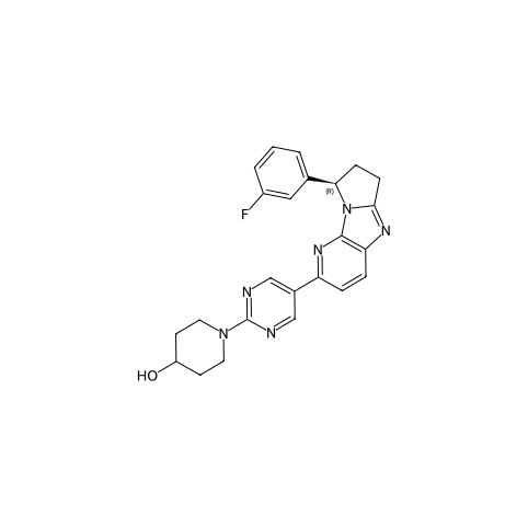 OC1CCN(c2ncc(-c3ccc4nc5n(c4n3)[C@@H](c3cccc(F)c3)CC5)cn2)CC1